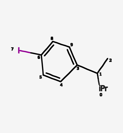 CC(C)C(C)c1ccc(I)cc1